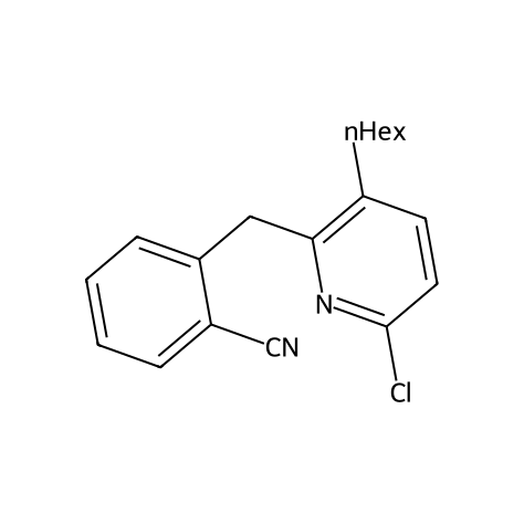 CCCCCCc1ccc(Cl)nc1Cc1ccccc1C#N